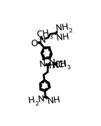 CN(CCC(=N)N)C(=O)c1ccc2c(c1)nc(CCc1ccc(C(=N)N)cc1)n2C.Cl.Cl